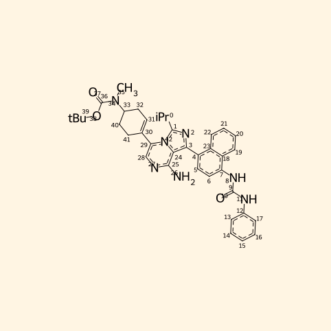 CC(C)c1nc(-c2ccc(NC(=O)Nc3ccccc3)c3ccccc23)c2c(N)ncc(C3=CCC(N(C)C(=O)OC(C)(C)C)CC3)n12